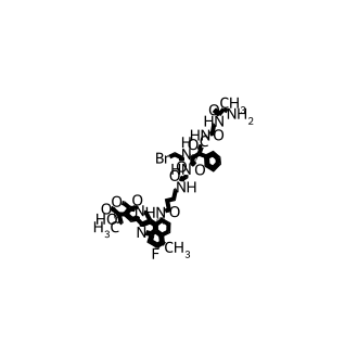 CC[C@@]1(O)C(=O)OCc2c1cc1n(c2=O)Cc2c-1nc1cc(F)c(C)c3c1c2[C@@H](NC(=O)CCCNC(=O)CNC(=O)[C@@H](NC(=O)CBr)C(C(=O)CNC(=O)CNC(=O)C(C)N)c1ccccc1)CC3